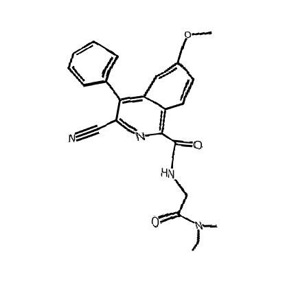 COc1ccc2c(C(=O)NCC(=O)N(C)C)nc(C#N)c(-c3ccccc3)c2c1